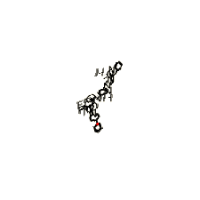 Nc1ccccc1CC(=O)N1CCN(c2ccc(NC(=O)c3oc(N4CCC(c5ccccc5)CC4)nc3C(F)(F)F)cn2)CC1